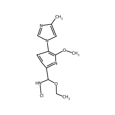 CCOC(NCl)c1ccc(-n2cnc(C)c2)c(OC)n1